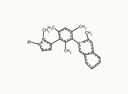 Cc1cc(C)c(-[n+]2cc3ccccc3cc2C)c(C)c1-c1ccn(C(C)C)[n+]1C